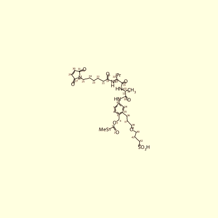 CSC(=O)OCc1ccc(NC(=O)[C@H](C)NC(=O)[C@@H](NC(=O)CCCCCN2C(=O)C=CC2=O)C(C)C)cc1CCCOCCCS(=O)(=O)O